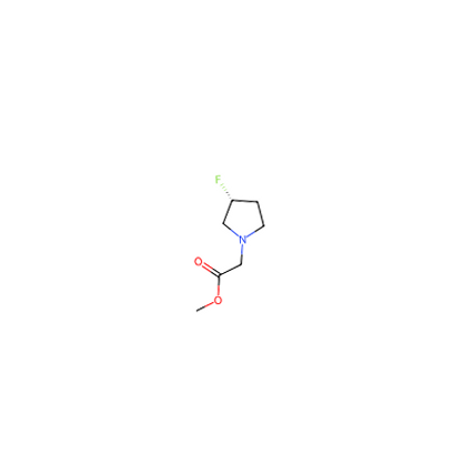 COC(=O)CN1CC[C@@H](F)C1